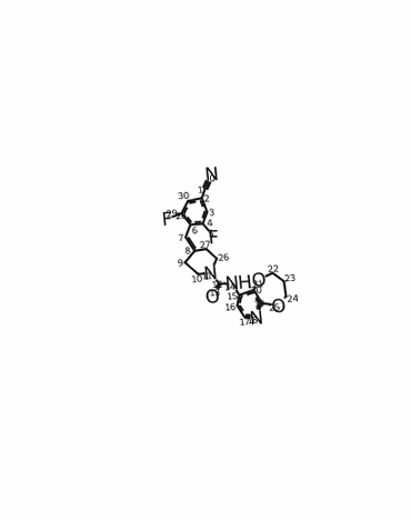 N#Cc1cc(F)c(C=C2CCN(C(=O)Nc3ccnc4c3OCCCO4)CC2)c(F)c1